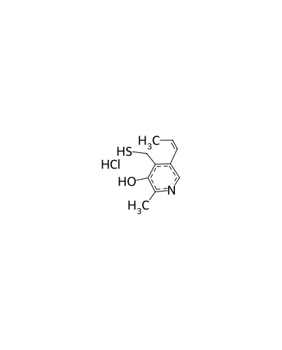 C/C=C\c1cnc(C)c(O)c1CS.Cl